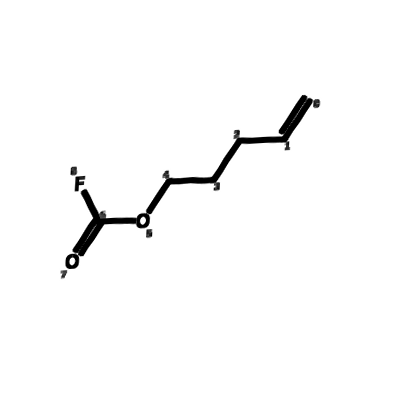 C=CCCCOC(=O)F